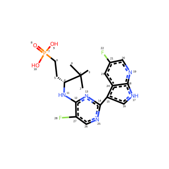 CC(C)(C)[C@@H](CCP(=O)(O)O)Nc1nc(-c2c[nH]c3ncc(F)cc23)ncc1F